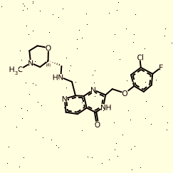 CN1CCO[C@H](CNCc2nccc3c(=O)[nH]c(COc4ccc(F)c(Cl)c4)nc23)C1